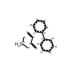 C=CC=C.C[SiH2]C.c1ccc(-c2ccccc2)cc1